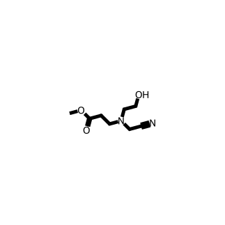 COC(=O)CCN(CC#N)CCO